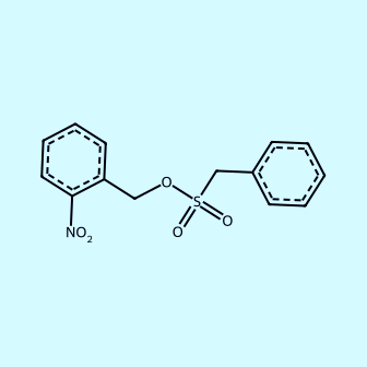 O=[N+]([O-])c1ccccc1COS(=O)(=O)Cc1ccccc1